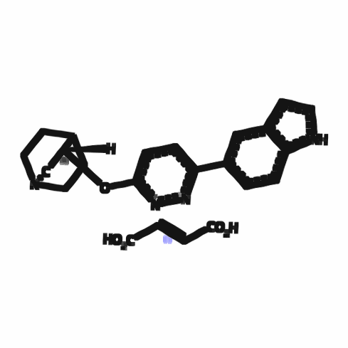 O=C(O)/C=C/C(=O)O.c1cc2cc(-c3ccc(O[C@@H]4CN5CCC4CC5)nn3)ccc2[nH]1